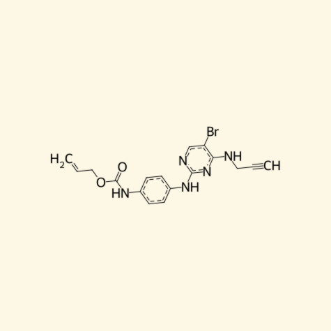 C#CCNc1nc(Nc2ccc(NC(=O)OCC=C)cc2)ncc1Br